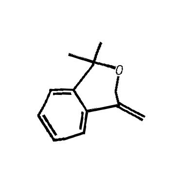 C=C1OC(C)(C)c2ccccc21